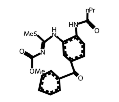 CCCC(=O)Nc1ccc(C(=O)c2ccccc2)cc1NC(=NC(=O)OC)SC